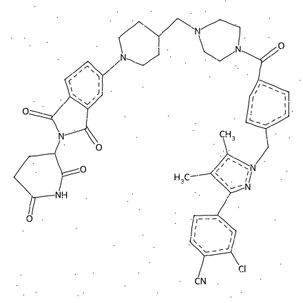 Cc1c(-c2ccc(C#N)c(Cl)c2)nn(Cc2ccc(C(=O)N3CCN(CC4CCN(c5ccc6c(c5)C(=O)N(C5CCC(=O)NC5=O)C6=O)CC4)CC3)cc2)c1C